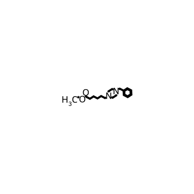 CCOC(=O)CCCCCN1CCN(Cc2ccccc2)CC1